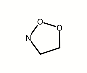 C1COO[N]1